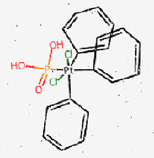 O=[P](O)(O)[Pt]([Cl])([Cl])([c]1ccccc1)([c]1ccccc1)[c]1ccccc1